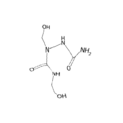 NC(=O)NN(CO)C(=O)NCO